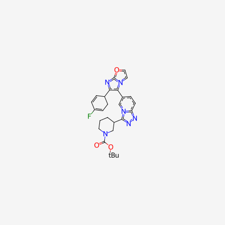 CC(C)(C)OC(=O)N1CCCC(c2nnc3ccc(-c4c(C5C=CC(F)=CC5)nc5occn45)cn23)C1